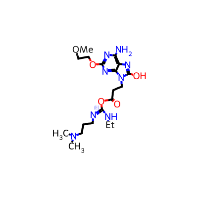 CCN/C(=N\CCCN(C)C)OC(=O)CCn1c(O)nc2c(N)nc(OCCOC)nc21